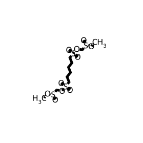 COS(=O)COS(=O)(=O)CCCCCCS(=O)(=O)OCS(=O)OC